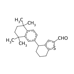 CC1(C)CCC(C)(C)c2cc(C3CCCc4sc(C=O)cc43)ccc21